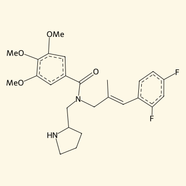 COc1cc(C(=O)N(C/C(C)=C/c2ccc(F)cc2F)CC2CCCN2)cc(OC)c1OC